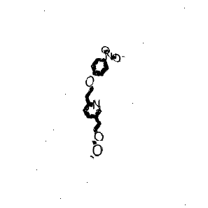 COCOCCc1ccc(CCOc2ccc([N+](=O)[O-])cc2)nc1